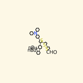 CCCCC1(CCCC)c2ccccc2-c2ccc(-c3cc(-c4ccc(N(c5ccccc5)c5ccccc5)cc4)sc3-c3ccc(-c4ccc(C=O)s4)s3)cc21